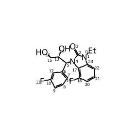 CCn1c(=O)n([C@@H](c2cccc(F)c2)[C@H](O)CO)c2c(F)cccc21